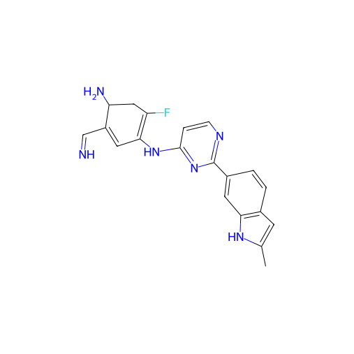 Cc1cc2ccc(-c3nccc(NC4=C(F)CC(N)C(C=N)=C4)n3)cc2[nH]1